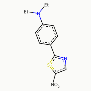 CCN(CC)c1ccc(-c2ncc([N+](=O)[O-])s2)cc1